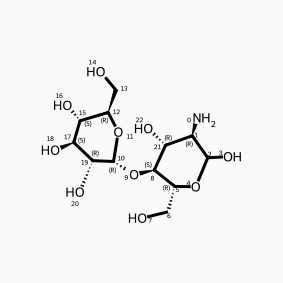 N[C@H]1C(O)O[C@H](CO)[C@@H](O[C@H]2O[C@H](CO)[C@@H](O)[C@H](O)[C@H]2O)[C@@H]1O